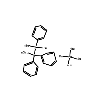 CCCCCCCC[B-](c1ccccc1)(c1ccccc1)[Si](CCCC)(CCCC)c1ccccc1.CCCC[N+](CCCC)(CCCC)CCCC